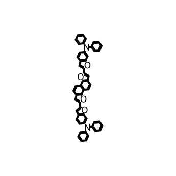 c1ccc(N(c2ccccc2)c2ccc3cc(-c4cc5ccc6c(ccc7cc(-c8cc9ccc(N(c%10ccccc%10)c%10ccccc%10)cc9o8)oc76)c5o4)oc3c2)cc1